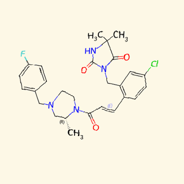 C[C@@H]1CN(Cc2ccc(F)cc2)CCN1C(=O)/C=C/c1ccc(Cl)cc1CN1C(=O)NC(C)(C)C1=O